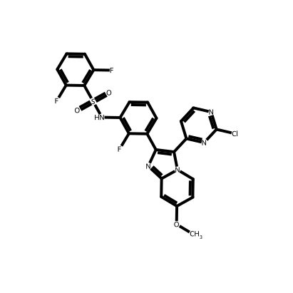 COc1ccn2c(-c3ccnc(Cl)n3)c(-c3cccc(NS(=O)(=O)c4c(F)cccc4F)c3F)nc2c1